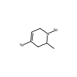 [2H]C1=CCN([2H])C(C)C1